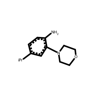 CC(C)c1ccc(N)c(N2CCOCC2)c1